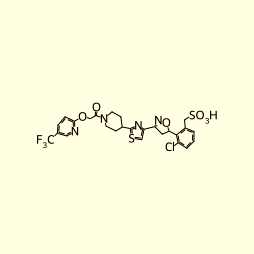 O=C(COc1ccc(C(F)(F)F)cn1)N1CCC(c2nc(C3=NOC(c4c(Cl)cccc4CS(=O)(=O)O)C3)cs2)CC1